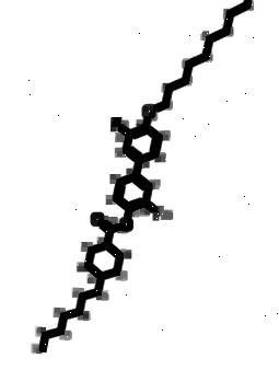 CCCCCCCCCCOc1ccc(-c2ccc(OC(=O)C3CCC(CCCCCCC)CC3)c(F)c2)cc1F